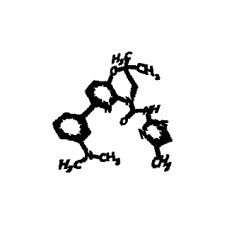 Cc1csc(NC(=O)N2CC(C)(C)Oc3ccc(-c4cccc(N(C)C)c4)nc32)n1